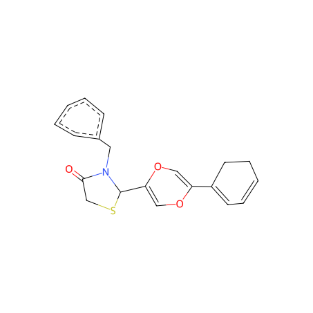 O=C1CSC(C2=COC(C3=CC=CCC3)=CO2)N1Cc1ccccc1